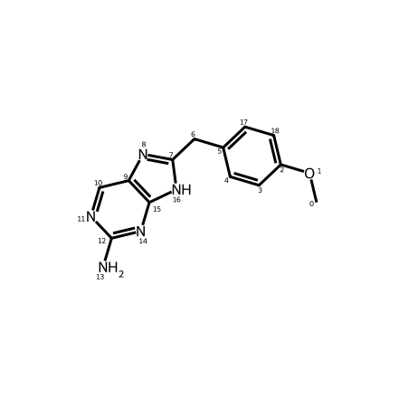 COc1ccc(Cc2nc3cnc(N)nc3[nH]2)cc1